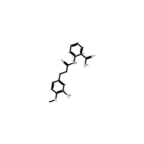 COc1ccc(CCC(=O)Nc2ccccc2C(=O)O)cc1O